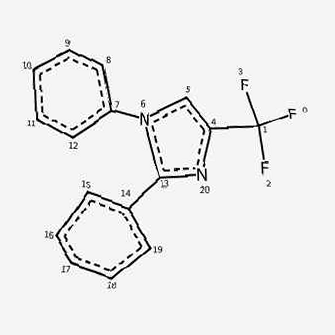 FC(F)(F)c1cn(-c2ccccc2)c(-c2ccccc2)n1